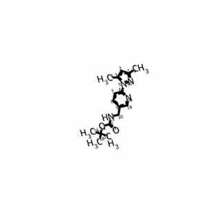 Cc1cc(C)n(-c2ccc(CNC(=O)OC(C)(C)C)cn2)n1